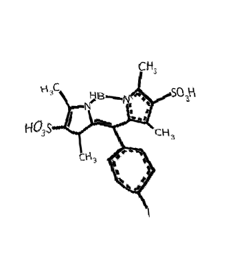 CC1=C(S(=O)(=O)O)C(C)C2=C(c3ccc(I)cc3)c3c(C)c(S(=O)(=O)O)c(C)n3BN12